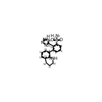 NS(=O)(=O)c1cccc(-c2cccc3c2NCCC3)c1-c1nnn[nH]1